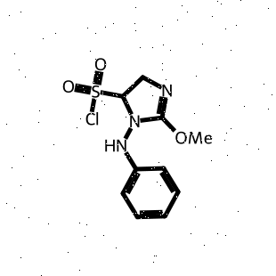 COC1=NCC(S(=O)(=O)Cl)N1Nc1ccccc1